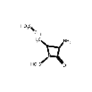 CC1C(N)C(=O)N1S(=O)(=O)O.CS(=O)(=O)O